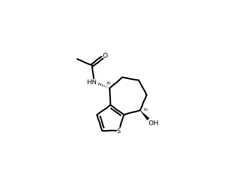 CC(=O)N[C@@H]1CCC[C@@H](O)c2sccc21